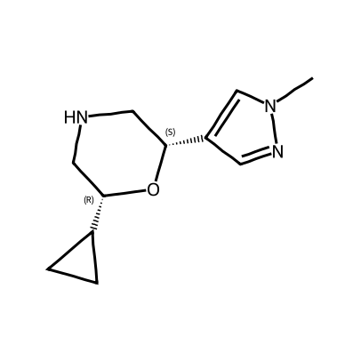 Cn1cc([C@H]2CNC[C@@H](C3CC3)O2)cn1